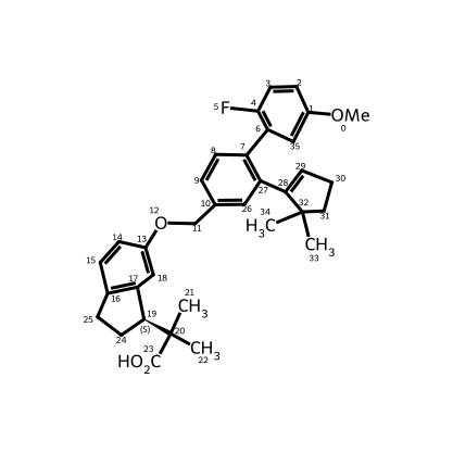 COc1ccc(F)c(-c2ccc(COc3ccc4c(c3)[C@@H](C(C)(C)C(=O)O)CC4)cc2C2=CCCC2(C)C)c1